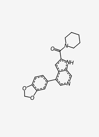 O=C(c1cc2c(-c3ccc4c(c3)OCO4)cncc2[nH]1)N1CCCCC1